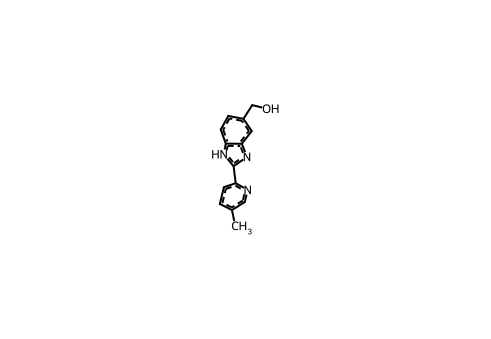 Cc1ccc(-c2nc3cc(CO)ccc3[nH]2)nc1